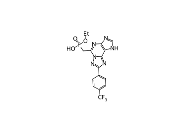 CCOP(=O)(O)Cc1nc2nc[nH]c2c2nc(-c3ccc(C(F)(F)F)cc3)nn12